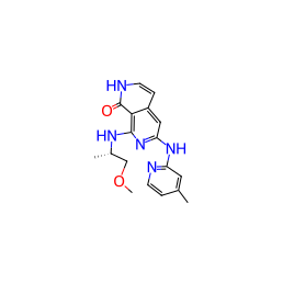 COC[C@H](C)Nc1nc(Nc2cc(C)ccn2)cc2cc[nH]c(=O)c12